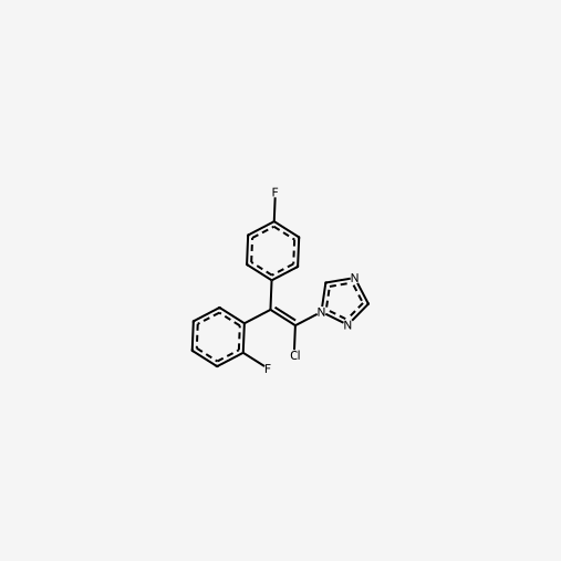 Fc1ccc(/C(=C(/Cl)n2cncn2)c2ccccc2F)cc1